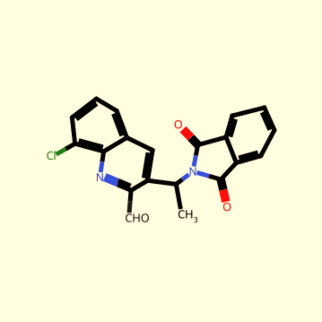 CC(c1cc2cccc(Cl)c2nc1C=O)N1C(=O)c2ccccc2C1=O